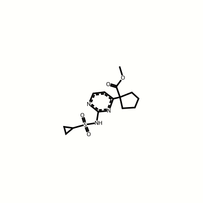 COC(=O)C1(c2ccnc(NS(=O)(=O)C3CC3)n2)CCCC1